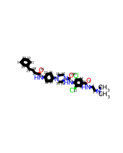 CN(C)CCNC(=O)c1cc(Cl)c(NC(=O)N2CCN(c3ccc(NC(=O)CCCc4ccccc4)cc3)CC2)c(Cl)c1